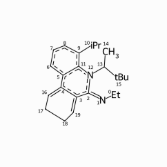 CC/N=c1/c2c(c3cccc(C(C)C)c3n1C(C)C(C)(C)C)=CCCC=2